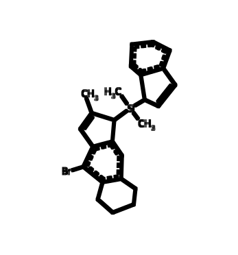 CC1=Cc2c(cc3c(c2Br)CCCC3)C1[Si](C)(C)C1C=Cc2ccccc21